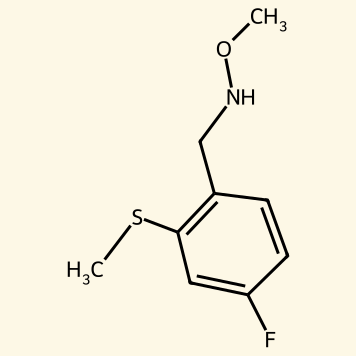 CONCc1ccc(F)cc1SC